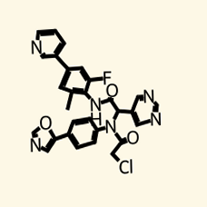 Cc1cc(-c2cccnc2)cc(F)c1NC(=O)C(c1cncnc1)N(C(=O)CCl)c1ccc(-c2cnco2)cc1